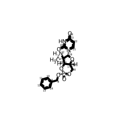 C[C@@]1(N)[C@@H]2O[P@@](=O)(OCc3ccccc3)OC[C@H]2O[C@H]1n1ccc(=O)[nH]c1=O